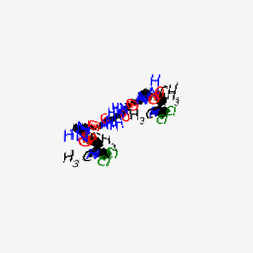 Cc1ccc(C2CN(C)Cc3c(Cl)cc(Cl)cc32)cc1S(=O)(=O)N[C@H]1CCN(CCOCCNC(=O)NCCCCNC(=O)NCCOCCN2CC[C@H](NS(=O)(=O)c3cc(C4CN(C)Cc5c(Cl)cc(Cl)cc54)ccc3C)C2)C1